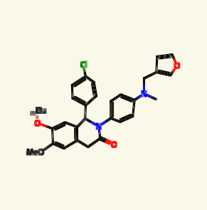 CC[C@@H](C)Oc1cc2c(cc1OC)CC(=O)N(c1ccc(N(C)Cc3ccoc3)cc1)C2c1ccc(Cl)cc1